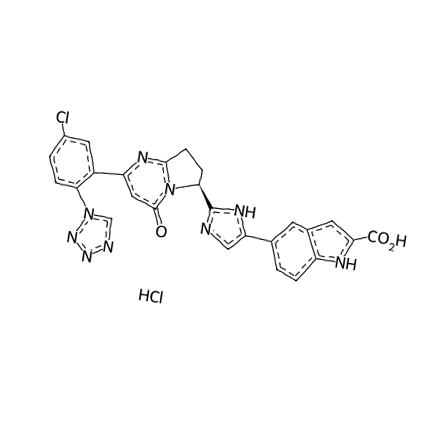 Cl.O=C(O)c1cc2cc(-c3cnc([C@@H]4CCc5nc(-c6cc(Cl)ccc6-n6cnnn6)cc(=O)n54)[nH]3)ccc2[nH]1